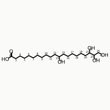 O=C(O)CCCCCCCCCCC(O)CCCCCCC(O)C(O)CO